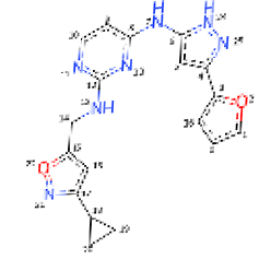 c1coc(-c2cc(Nc3ccnc(NCc4cc(C5CC5)no4)n3)[nH]n2)c1